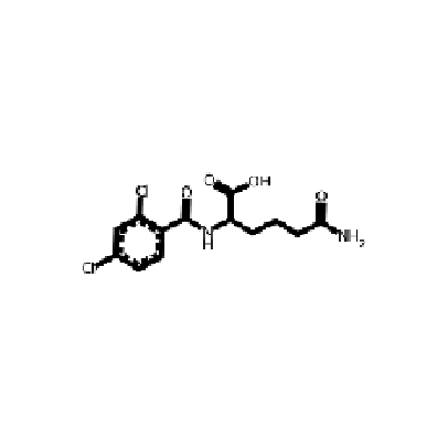 NC(=O)CCCC(NC(=O)c1ccc(Cl)cc1Cl)C(=O)O